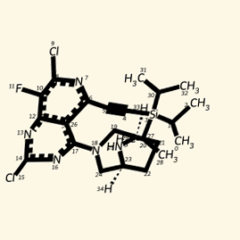 CC(C)[Si](C#Cc1nc(Cl)c(F)c2nc(Cl)nc(N3C[C@H]4CC[C@@H](C3)N4)c12)(C(C)C)C(C)C